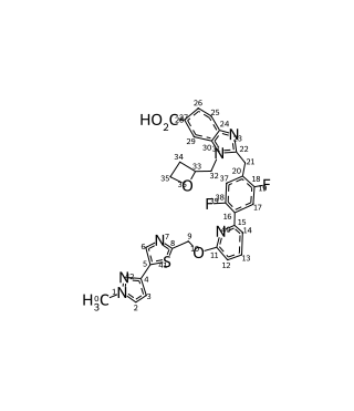 Cn1ccc(-c2cnc(COc3cccc(-c4cc(F)c(Cc5nc6ccc(C(=O)O)cc6n5CC5CCO5)cc4F)n3)s2)n1